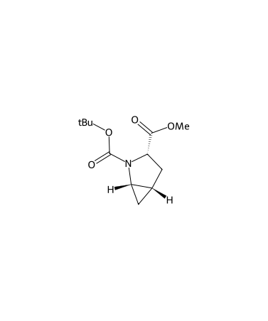 COC(=O)[C@@H]1C[C@@H]2C[C@@H]2N1C(=O)OC(C)(C)C